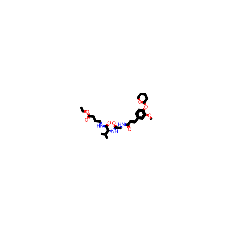 CCOC(=O)CCCNC(=O)[C@@H](NC(=O)CNC(=O)/C=C/c1ccc(OC2CCCCO2)c(OC)c1)C(C)C